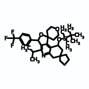 CC(C)c1nc2c(c3c1C(c1ccc(C(F)(F)F)cc1)OC31CCOCC1)C(O[Si](C)(C)C(C)(C)C)CC1(CCCC1)C2